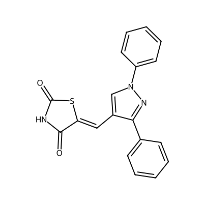 O=C1NC(=O)/C(=C/c2cn(-c3ccccc3)nc2-c2ccccc2)S1